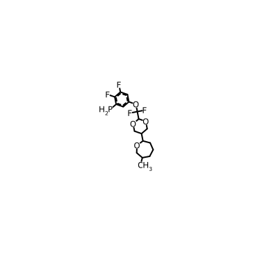 CC1CCCC(C2COC(C(F)(F)Oc3cc(F)c(F)c(P)c3)OC2)OC1